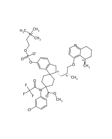 COC(=O)C1(N(C(=O)C(F)(F)F)c2cccc(Cl)c2)CCC2(CC1)c1cc(OP(=O)([O-])OCC[N+](C)(C)C)ccc1C[C@@H]2C[C@@H](C)COc1ccnc2c1[C@H](C)CCC2